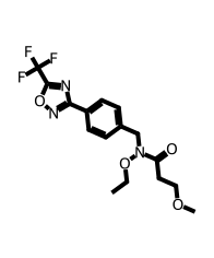 CCON(Cc1ccc(-c2noc(C(F)(F)F)n2)cc1)C(=O)CCOC